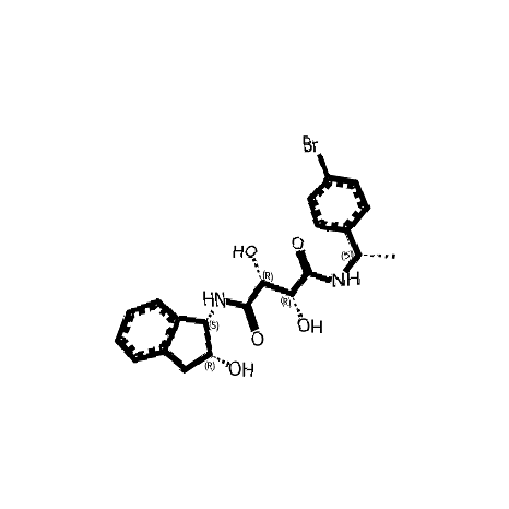 C[C@H](NC(=O)[C@H](O)[C@@H](O)C(=O)N[C@H]1c2ccccc2C[C@H]1O)c1ccc(Br)cc1